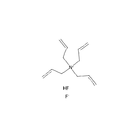 C=CC[N+](CC=C)(CC=C)CC=C.F.[F-]